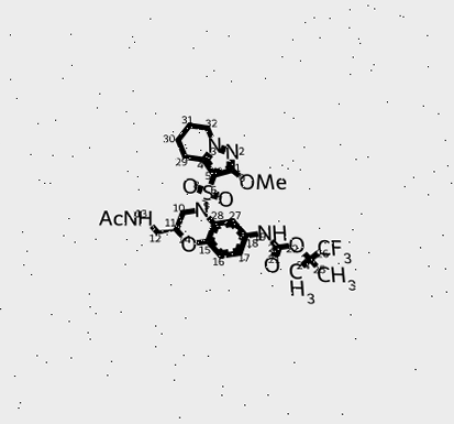 COc1nn2c(c1S(=O)(=O)N1C[C@H](CNC(C)=O)Oc3ccc(NC(=O)OC(C)(C)C(F)(F)F)cc31)CCCC2